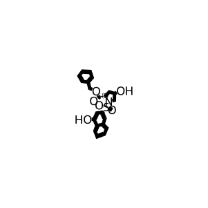 O=C(OCc1ccccc1)[C@@H]1CC(O)CN1S(=O)(=O)c1cc(O)c2ccccc2c1